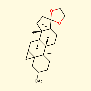 CC(=O)O[C@H]1CC[C@]2(C)[C@H]3CC[C@@]4(C)[C@@H](CCC45OCCO5)[C@@H]3CC3CC32C1